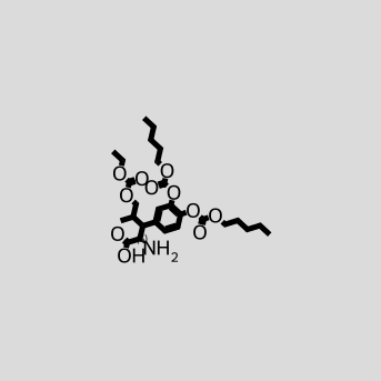 CCCCCOC(=O)Oc1ccc(C(C(C)COC(=O)OCC)[C@H](N)C(=O)O)cc1OC(=O)OCCCCC